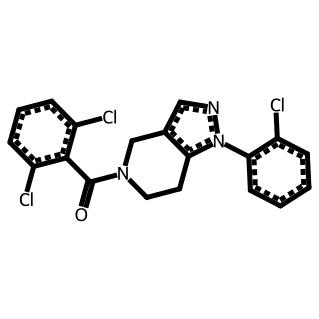 O=C(c1c(Cl)cccc1Cl)N1CCc2c(cnn2-c2ccccc2Cl)C1